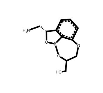 NC[C@H]1OB2OC(CO)COc3cccc1c32